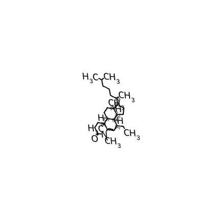 CC[C@H]1C=C2N(C)C(=O)CC[C@]2(C)[C@H]2CC[C@]3(C)[C@@H]([C@H](C)CCCC(C)C)CC[C@H]3[C@H]12